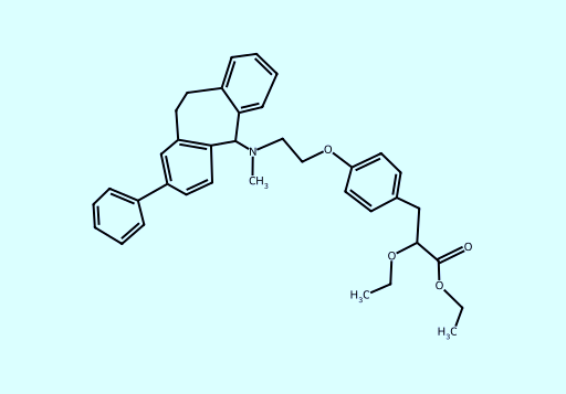 CCOC(=O)C(Cc1ccc(OCCN(C)C2c3ccccc3CCc3cc(-c4ccccc4)ccc32)cc1)OCC